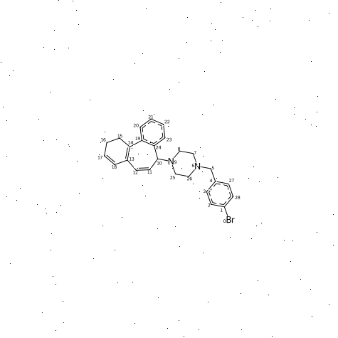 Brc1ccc(CN2CCN(C3C=CC4=C(CCC=C4)c4ccccc43)CC2)cc1